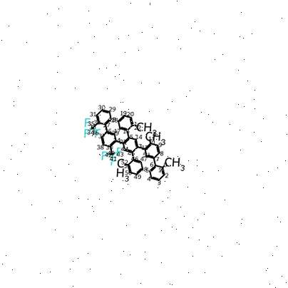 Cc1ccccc1-c1ccc(C)c(-c2cc(-c3ccccc3C)c(-c3cc(-c4ccccc4C(F)(F)F)ccc3C(F)(F)F)cc2-c2ccccc2C)c1